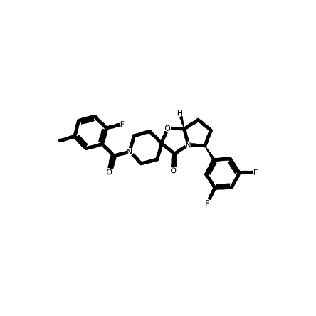 Cc1ccc(F)c(C(=O)N2CCC3(CC2)O[C@@H]2CC[C@@H](c4cc(F)cc(F)c4)N2C3=O)c1